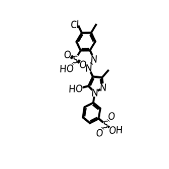 Cc1cc(N=Nc2c(C)nn(-c3cccc(S(=O)(=O)O)c3)c2O)c(S(=O)(=O)O)cc1Cl